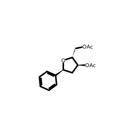 CC(=O)OC[C@H]1O[C@H](c2ccccc2)C[C@@H]1OC(C)=O